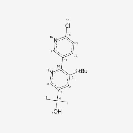 CC(C)(C)c1cc(C(C)(C)O)cnc1-c1ccc(Cl)nc1